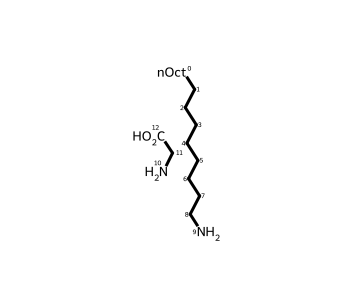 CCCCCCCCCCCCCCCCN.NCC(=O)O